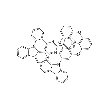 c1ccc(-c2nc(-c3ccccc3-n3c4ccccc4c4ccccc43)nc(-c3cccc4c5ccccc5n(-c5cc6c7c(c5)Oc5cccc8c5B7c5c(cccc5O6)O8)c34)n2)cc1